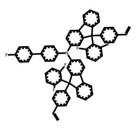 C=Cc1ccc(C2(c3c(F)cccc3F)c3ccccc3-c3ccc(N(c4ccc(-c5ccc(F)cc5)cc4)c4ccc5c(c4)C(c4ccc(C=C)cc4)(c4c(F)cccc4F)c4ccccc4-5)cc32)cc1